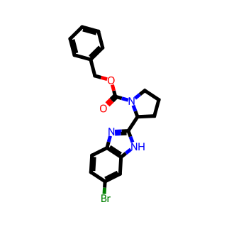 O=C(OCc1ccccc1)N1CCCC1c1nc2ccc(Br)cc2[nH]1